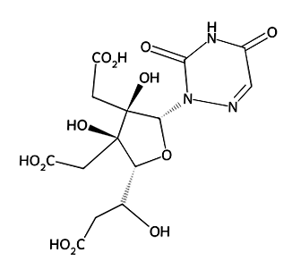 O=C(O)CC(O)[C@H]1O[C@@H](n2ncc(=O)[nH]c2=O)[C@@](O)(CC(=O)O)[C@@]1(O)CC(=O)O